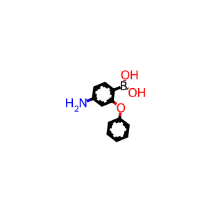 Nc1ccc(B(O)O)c(Oc2ccccc2)c1